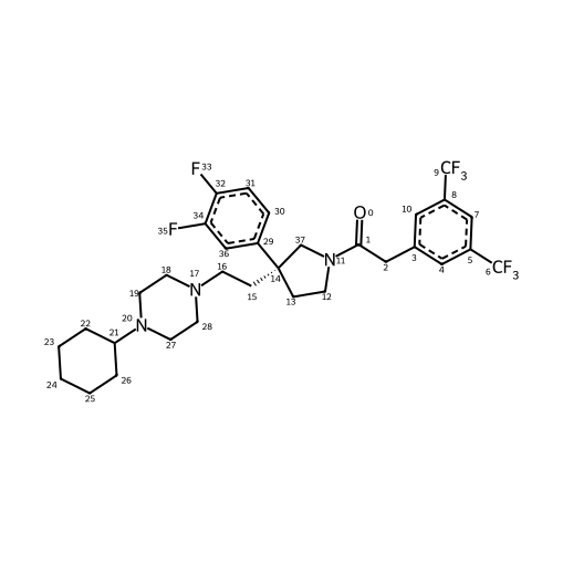 O=C(Cc1cc(C(F)(F)F)cc(C(F)(F)F)c1)N1CC[C@@](CCN2CCN(C3CCCCC3)CC2)(c2ccc(F)c(F)c2)C1